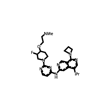 CNCCOC1CCN(c2nccc(Nc3cc4c(C(C)C)cnc(N5CCC5)c4cn3)n2)CC1F